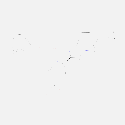 COC(=O)[C@H]1C[C@H](c2cn3cc(C4CC4)ccc3n2)N(C(=O)OCc2ccccc2)C1